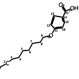 CCCCCCCCCCOc1ccc(C(=O)O)cc1